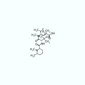 C/C(=C\[C@H](C(C)C)N(C)C(=O)[C@@H](NC(=O)C1CCCC(C)N1C)C(C)(C)C)C(=O)O